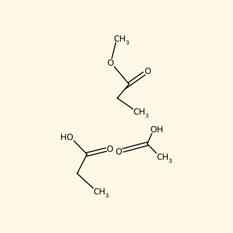 CC(=O)O.CCC(=O)O.CCC(=O)OC